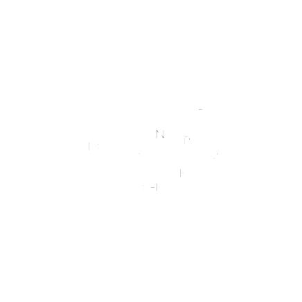 CS(C)=NP(=O)(F)F